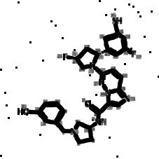 O=C(N[C@H]1CCN(Cc2cccc(O)c2)C1)c1cnc2ccc(N3C[C@@H](F)C[C@@H]3c3cc(F)cc(S)c3)nn12